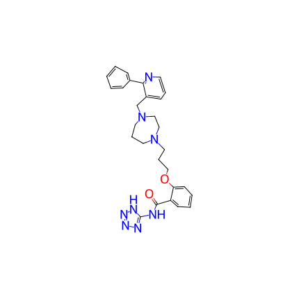 O=C(Nc1nnn[nH]1)c1ccccc1OCCCN1CCCN(Cc2cccnc2-c2ccccc2)CC1